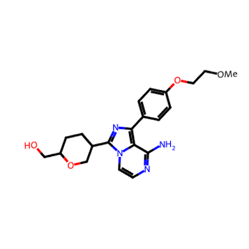 COCCOc1ccc(-c2nc(C3CCC(CO)OC3)n3ccnc(N)c23)cc1